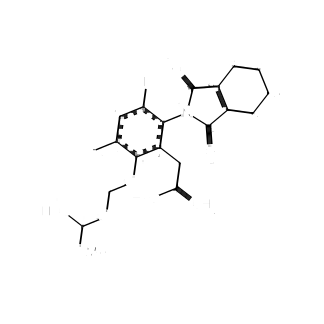 C=C(C)Cc1c(OCOC(C)OC)c(Cl)cc(F)c1N1C(=O)C2=C(CCCC2)C1=O